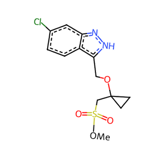 COS(=O)(=O)CC1(OCc2[nH]nc3cc(Cl)ccc23)CC1